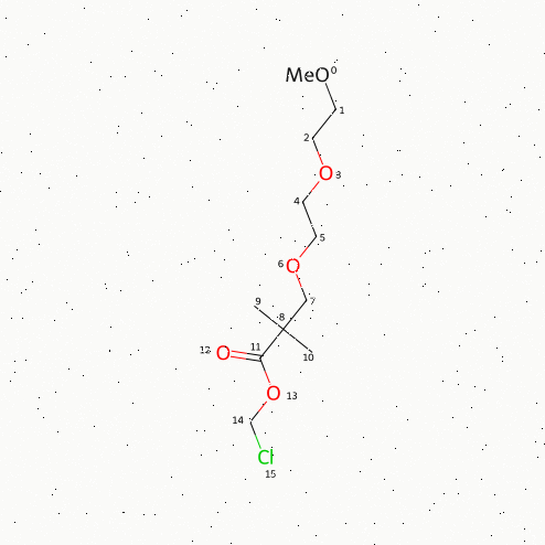 COCCOCCOCC(C)(C)C(=O)OCCl